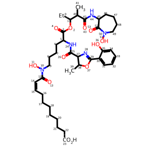 CCC(OC(=O)C(CCCCN(O)C(=O)/C=C\CCCCCCCC(=O)O)NC(=O)C1N=C(c2ccccc2O)OC1C)C(C)C(=O)NC1CCCCN(O)C1=O